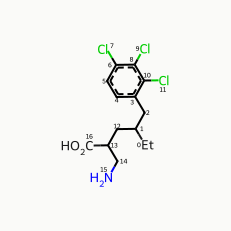 CCC(Cc1ccc(Cl)c(Cl)c1Cl)CC(CN)C(=O)O